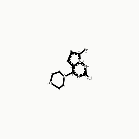 Clc1nc(N2CCOCC2)c2ccc(Br)n2n1